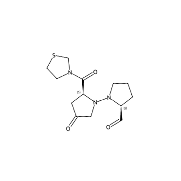 O=C[C@@H]1CCCN1N1CC(=O)C[C@H]1C(=O)N1CCSC1